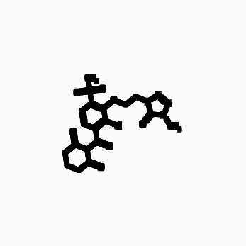 Cn1nnn(CCOc2c(S(C)(=O)=O)ccc(C(=O)C3C(=O)CCCC3=O)c2Cl)c1=O